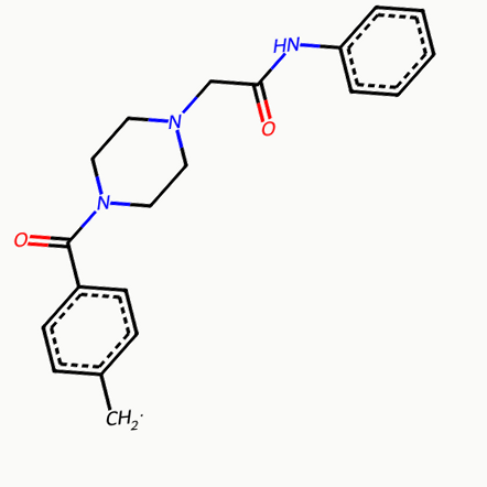 [CH2]c1ccc(C(=O)N2CCN(CC(=O)Nc3ccccc3)CC2)cc1